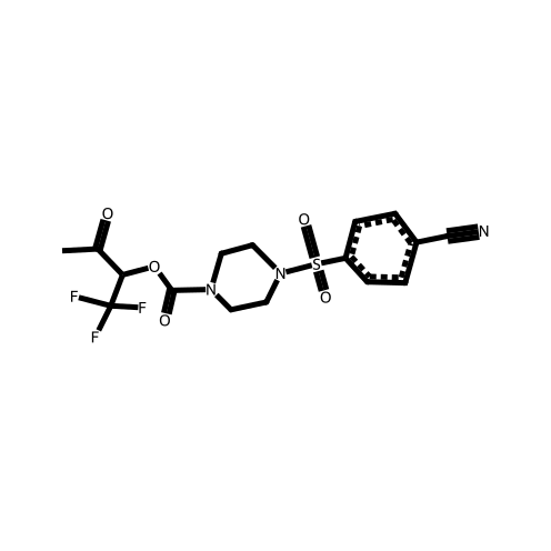 CC(=O)C(OC(=O)N1CCN(S(=O)(=O)c2ccc(C#N)cc2)CC1)C(F)(F)F